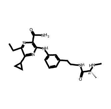 CCc1nc(C(N)=O)c(Nc2cccc(CCNC(=O)[C@@H](C)NC)c2)nc1C1CC1